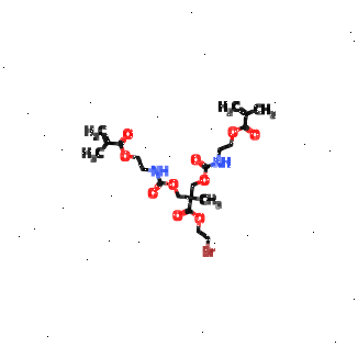 C=C(C)C(=O)OCCNC(=O)OCC(C)(COC(=O)NCCOC(=O)C(=C)C)C(=O)OCCBr